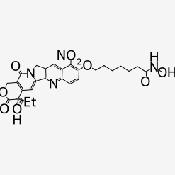 CC[C@@]1(O)C(=O)OCc2c1cc1n(c2=O)Cc2cc3c([N+](=O)[O-])c(OCCCCCCC(=O)NO)ccc3nc2-1